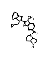 Cn1c(-c2cc3cccnc3n2CC2CC2)nc2cc(C(=O)N3CCCC4NCCC43)ccc21